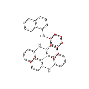 c1ccc(Nc2c(-c3ccccc3Nc3cccc(-c4cccc(Nc5cccc6ccccc56)c4)c3)ccc3ccccc23)cc1